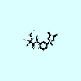 C=CC[Si](C)(CC=C)c1cccc(N(CC)C(=O)C(F)(OCF)C(F)(F)F)c1